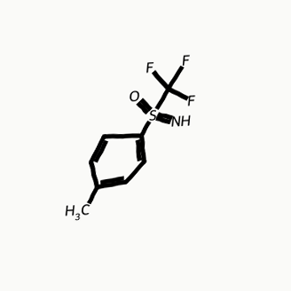 Cc1ccc(S(=N)(=O)C(F)(F)F)cc1